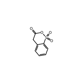 O=C1Cc2ccccc2S(=O)(=O)O1